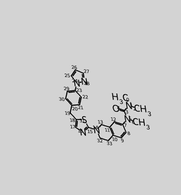 CN(C)C(=O)N(C)c1ccc2c(c1)CN(c1ncc(Cc3ccc(-n4cccn4)cc3)s1)CC2